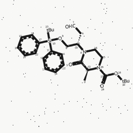 C[C@H]1C(=O)N([C@@H](CC=O)CO[Si](c2ccccc2)(c2ccccc2)C(C)(C)C)CCN1C(=O)OC(C)(C)C